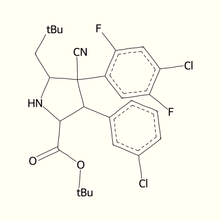 CC(C)(C)CC1NC(C(=O)OC(C)(C)C)C(c2cccc(Cl)c2)C1(C#N)c1cc(F)c(Cl)cc1F